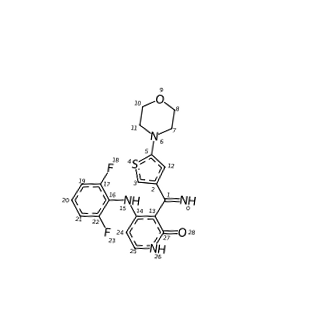 N=C(c1csc(N2CCOCC2)c1)c1c(Nc2c(F)cccc2F)cc[nH]c1=O